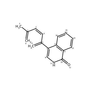 C=C(C)/C=C\C(=C)c1c[nH]c(=O)c2ccncc12